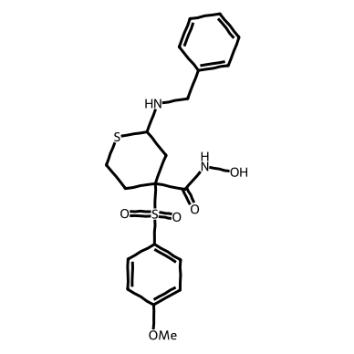 COc1ccc(S(=O)(=O)C2(C(=O)NO)CCSC(NCc3ccccc3)C2)cc1